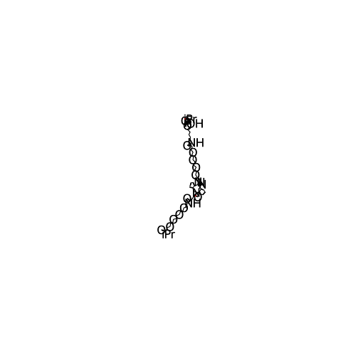 CC(C)OP(O)(=S)OCCCCCCNC(=O)CCOCCOCCOCCOCCn1nnc2c1-c1ccccc1CN(C(=O)CCC(=O)NCCOCCOCCOCCOCCC(=O)C(C)C)c1ccccc1-2